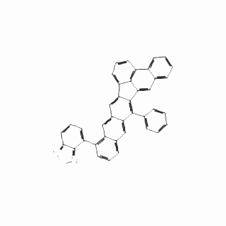 c1ccc(-c2c3c(cc4cc5c(-c6cccc7nsnc67)cccc5cc24)-c2cccc4c2c-3cc2ccccc24)cc1